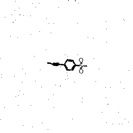 CC#Cc1ccc(S(C)(=O)=O)cc1